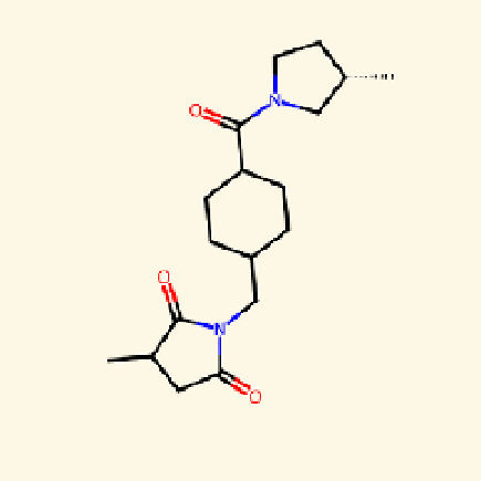 CC1CC(=O)N(CC2CCC(C(=O)N3CC[C@H](C)C3)CC2)C1=O